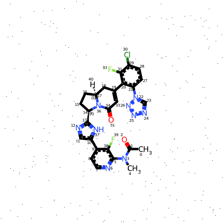 CC(=O)N(C)c1nccc(-c2cnc([C@H]3CC[C@H]4CC(c5c(-n6cnnn6)ccc(Cl)c5F)=CC(=O)N43)[nH]2)c1F